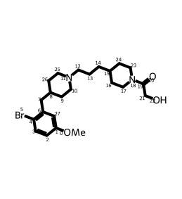 COc1ccc(Br)c(CC2CCN(CCCC3CCN(C(=O)CO)CC3)CC2)c1